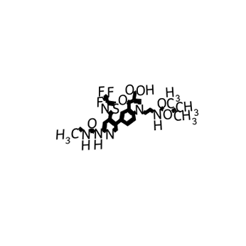 CCNC(=O)Nc1cc(-c2nc(C(F)(F)F)cs2)c(-c2ccc3c(c2)c(=O)c(C(=O)O)cn3CCNC(=O)OC(C)(C)C)cn1